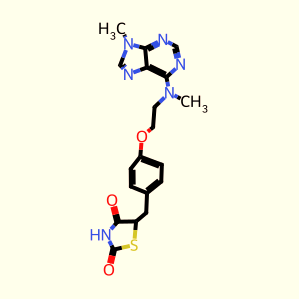 CN(CCOc1ccc(CC2SC(=O)NC2=O)cc1)c1ncnc2c1ncn2C